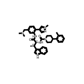 Cc1ccccc1C1CCN(C(=O)N[C@@H](C(=O)Nc2cc(CN(C)C)ccc2-c2cnn(C)c2)[C@H](C)c2c[nH]c3ccccc23)CC1